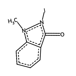 Cn1c2ccccc2c(=O)n1I